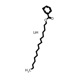 CCCCCCCCCCCCCCCCOC(=O)c1ccccc1.[LiH]